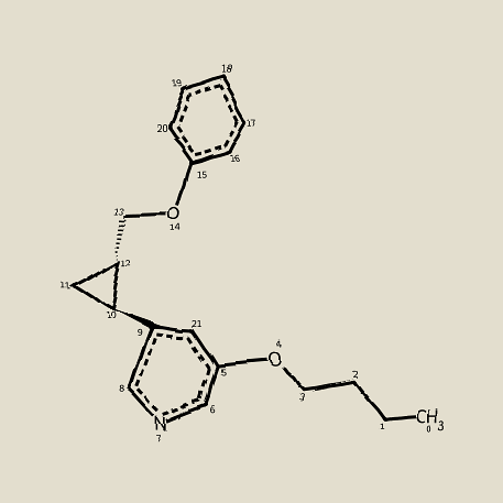 CCCCOc1cncc([C@H]2C[C@@H]2COc2ccccc2)c1